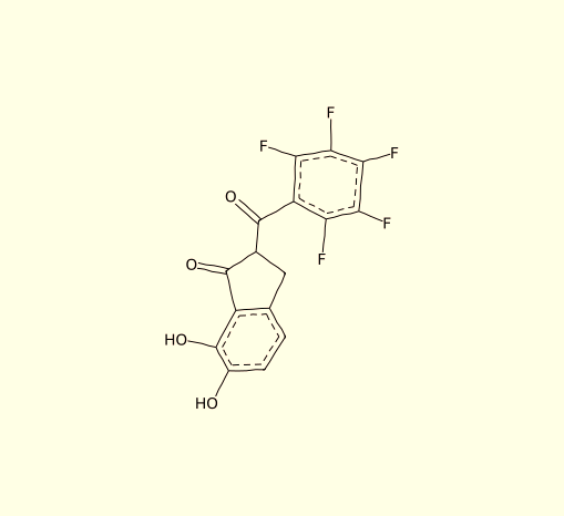 O=C1c2c(ccc(O)c2O)CC1C(=O)c1c(F)c(F)c(F)c(F)c1F